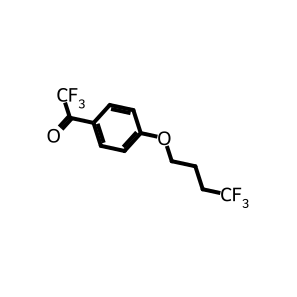 O=C(c1ccc(OCCCC(F)(F)F)cc1)C(F)(F)F